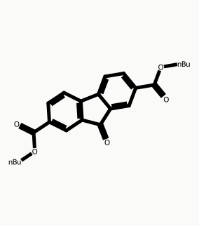 CCCCOC(=O)c1ccc2c(c1)C(=O)c1cc(C(=O)OCCCC)ccc1-2